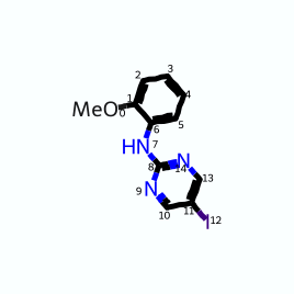 COc1ccccc1Nc1ncc(I)cn1